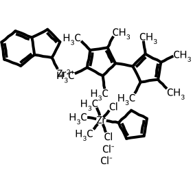 CC1=C(C)C(C)C(C2=C(C)C(C)=C(C)C2C)=C1C.[CH3][Zr]([CH3])([CH3])([Cl])([Cl])[C]1=CC=CC1.[Cl-].[Cl-].[Zr+2][CH]1C=Cc2ccccc21